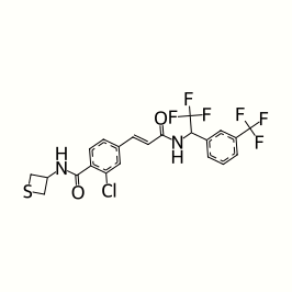 O=C(/C=C/c1ccc(C(=O)NC2CSC2)c(Cl)c1)NC(c1cccc(C(F)(F)F)c1)C(F)(F)F